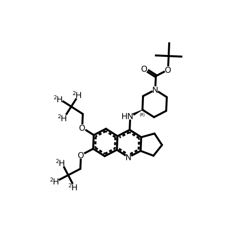 [2H]C([2H])([2H])COc1cc2nc3c(c(N[C@@H]4CCCN(C(=O)OC(C)(C)C)C4)c2cc1OCC([2H])([2H])[2H])CCC3